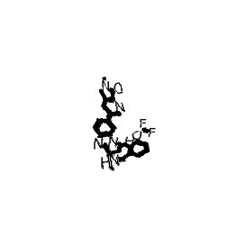 CN1Cc2cc(-c3ccc4nc5n(c4c3)[C@@H]3C[C@H]5N(C)Cc4cccc(OC(F)F)c43)cnc2C1=O